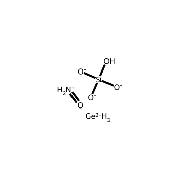 [GeH2+2].[NH2+]=O.[O-][Si]([O-])([O-])O